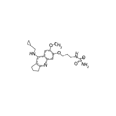 COc1cc2c(NCC3CC3)c3c(nc2cc1OCCCNS(N)(=O)=O)CCC3